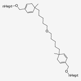 CCCCCCCOCC1=CCC(C)(CCCCCOCCCCCC2(C)C=CC(COCCCCCCC)=CC2)C=C1